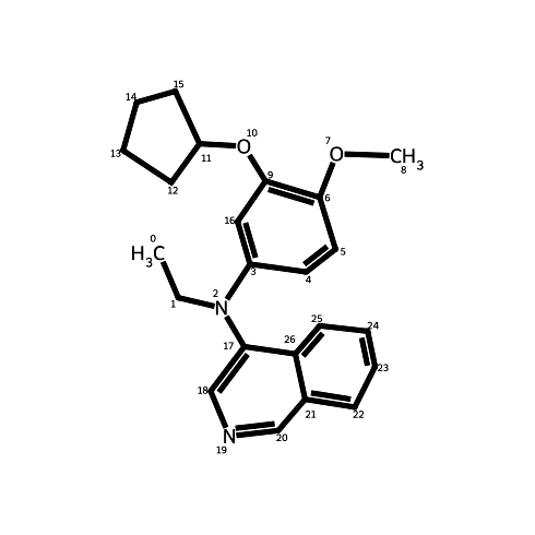 CCN(c1ccc(OC)c(OC2CCCC2)c1)c1cncc2ccccc12